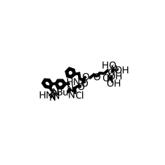 CCCCc1nc(Cl)c(C(=O)NC(Cc2ccccc2)C(=O)OCCOCC(CON(O)O)ON(O)O)n1Cc1ccc(-c2ccccc2-c2nnn[nH]2)cc1